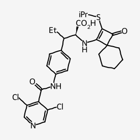 CCC(c1ccc(NC(=O)c2c(Cl)cncc2Cl)cc1)[C@H](NC1=C(SC(C)C)C(=O)C12CCCCC2)C(=O)O